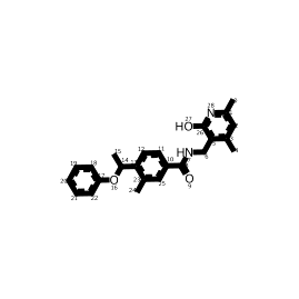 Cc1cc(C)c(CNC(=O)c2ccc(C(C)Oc3ccccc3)c(C)c2)c(O)n1